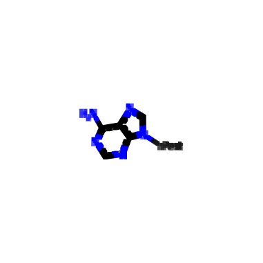 CCCCCn1cnc2c(N)ncnc21